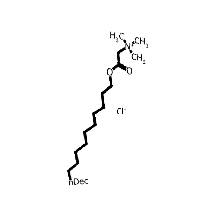 CCCCCCCCCCCCCCCCCCCCOC(=O)C[N+](C)(C)C.[Cl-]